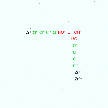 [Cl-].[Cl-].[Cl-].[Cl-].[Cl-].[Cl-].[Cl-].[Cl-].[OH-].[OH-].[OH-].[OH-].[Zr+4].[Zr+4].[Zr+4]